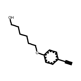 C#Cc1ccc(OCCCCCCO)cc1